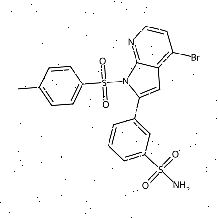 Cc1ccc(S(=O)(=O)n2c(-c3cccc(S(N)(=O)=O)c3)cc3c(Br)ccnc32)cc1